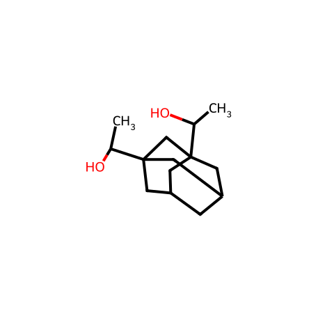 CC(O)C12CC3CC(C1)CC(C(C)O)(C3)C2